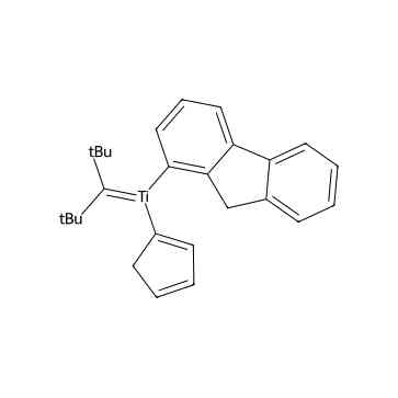 CC(C)(C)[C](=[Ti]([C]1=CC=CC1)[c]1cccc2c1Cc1ccccc1-2)C(C)(C)C